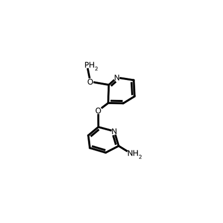 Nc1cccc(Oc2cccnc2OP)n1